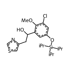 COc1c(Cl)cc(O[Si](C(C)C)(C(C)C)C(C)C)cc1C(O)Cc1cscn1